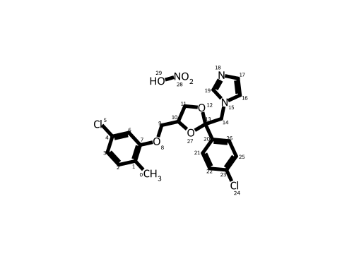 Cc1ccc(Cl)cc1OCC1COC(Cn2ccnc2)(c2ccc(Cl)cc2)O1.O=[N+]([O-])O